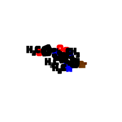 COc1ccc(CN2CC(C)c3cc(-c4c5c(C#N)cc(Br)cc5nn4C)cc(OC)c3C2=O)cc1